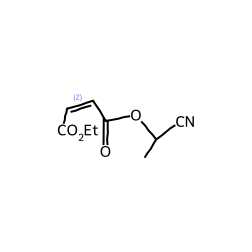 CCOC(=O)/C=C\C(=O)OC(C)C#N